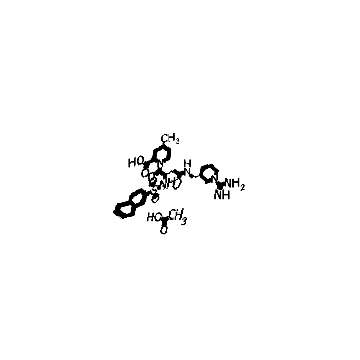 CC(=O)O.C[C@@H]1CCN(C(=O)[C@H](CC(=O)NC[C@@H]2CCCN(C(=N)N)C2)NS(=O)(=O)c2ccc3ccccc3c2)C(C(=O)O)C1